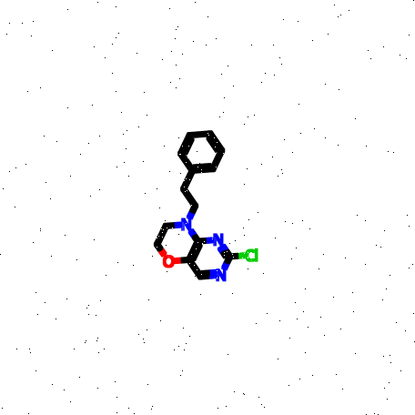 Clc1ncc2c(n1)N(CCc1ccccc1)CCO2